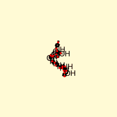 C#Cc1ccc(CNC(=O)[C@@H]2C[C@@H](O)CN2C(=O)[C@@H](NC(=O)N2CCO[C@@H](CN3CCC(N4CCC(N5CCN6c7cc(-c8ccccc8O)nnc7NC[C@H]6C5)CC4)CC3)C2)C(C)(C)C)cc1